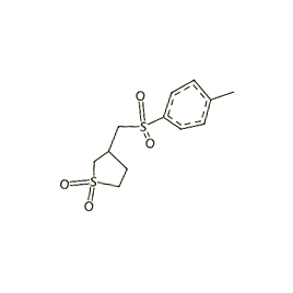 Cc1ccc(S(=O)(=O)CC2CCS(=O)(=O)C2)cc1